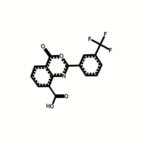 O=C(O)c1cccc2c(=O)oc(-c3cccc(C(F)(F)F)c3)nc12